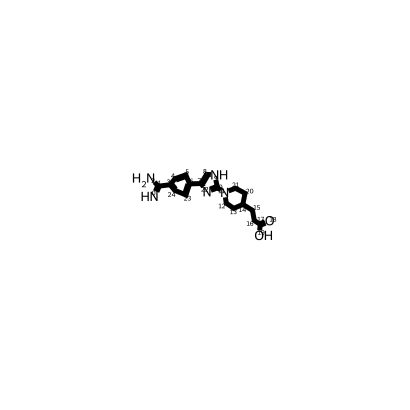 N=C(N)c1ccc(-c2c[nH]c(N3CCC(CCC(=O)O)CC3)n2)cc1